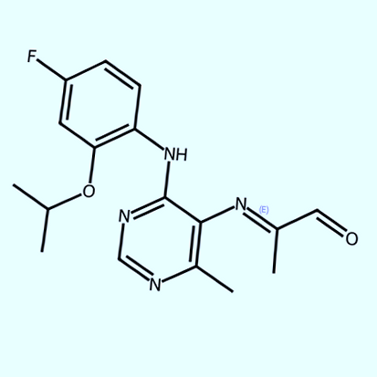 C/C(C=O)=N\c1c(C)ncnc1Nc1ccc(F)cc1OC(C)C